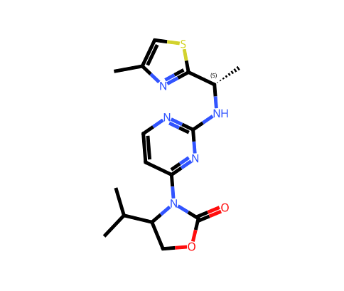 Cc1csc([C@H](C)Nc2nccc(N3C(=O)OCC3C(C)C)n2)n1